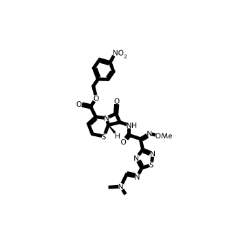 CON=C(C(=O)NC1C(=O)N2C(C(=O)OCc3ccc([N+](=O)[O-])cc3)=CCS[C@@H]12)c1nsc(N=CN(C)C)n1